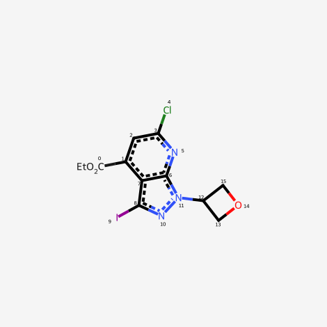 CCOC(=O)c1cc(Cl)nc2c1c(I)nn2C1COC1